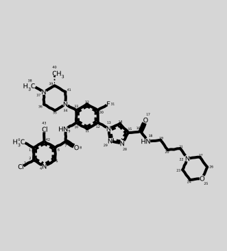 Cc1c(Cl)ncc(C(=O)Nc2cc(-n3cc(C(=O)NCCCN4CCOCC4)nn3)c(F)cc2N2CCN(C)[C@H](C)C2)c1Cl